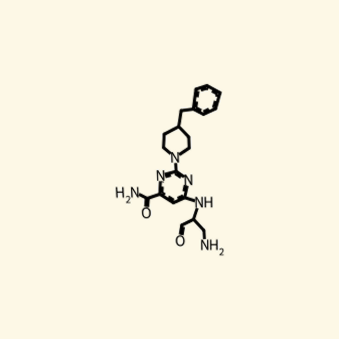 NCC(C=O)Nc1cc(C(N)=O)nc(N2CCC(Cc3ccccc3)CC2)n1